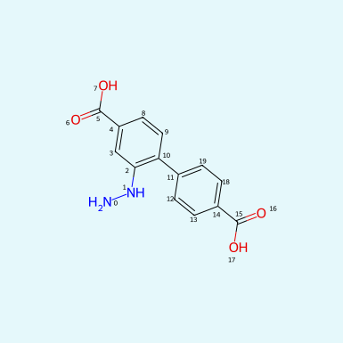 NNc1cc(C(=O)O)ccc1-c1ccc(C(=O)O)cc1